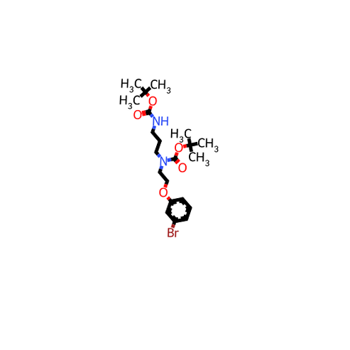 CC(C)(C)OC(=O)NCCCN(CCOc1cccc(Br)c1)C(=O)OC(C)(C)C